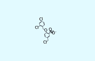 O=[N+]([O-])c1cc(CCl)ccc1OCc1ccc(Cl)cc1Cl